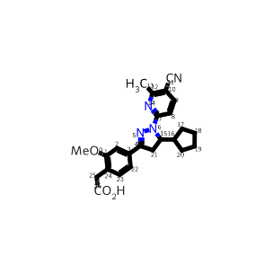 COc1cc(C2=NN(c3ccc(C#N)c(C)n3)C(C3CCCC3)C2)ccc1CC(=O)O